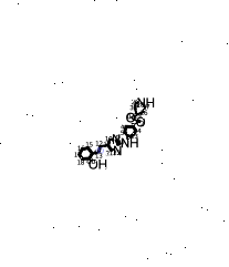 O=S(=O)(c1ccc(Nc2ncc(/C=C/c3ccccc3O)cn2)cc1)C1CCNCC1